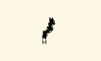 Cn1c2ccncc2c2ccc(-c3cnc(O[C@H]4C[C@H](N(C)C5CC6(CNC6)C5)C4)nc3)cc21